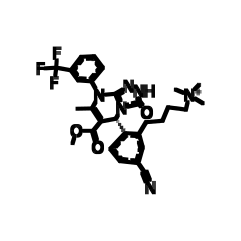 COC(=O)C1=C(C)N(c2cccc(C(F)(F)F)c2)c2n[nH]c(=O)n2[C@@H]1c1ccc(C#N)cc1CCCC[N+](C)(C)C